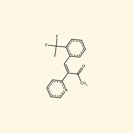 CC(=O)/C(=C\c1ccccc1C(F)(F)F)c1ccccn1